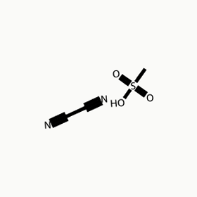 CS(=O)(=O)O.N#CC#N